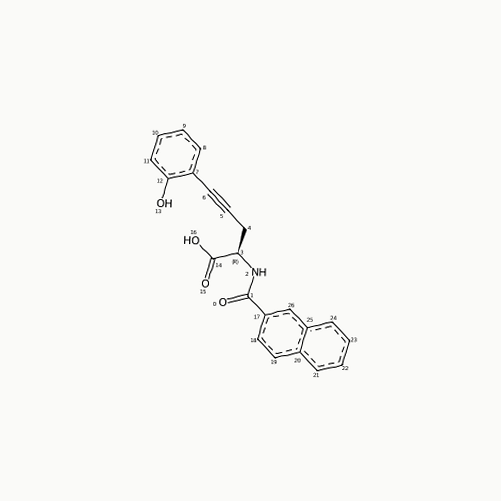 O=C(N[C@H](CC#Cc1ccccc1O)C(=O)O)c1ccc2ccccc2c1